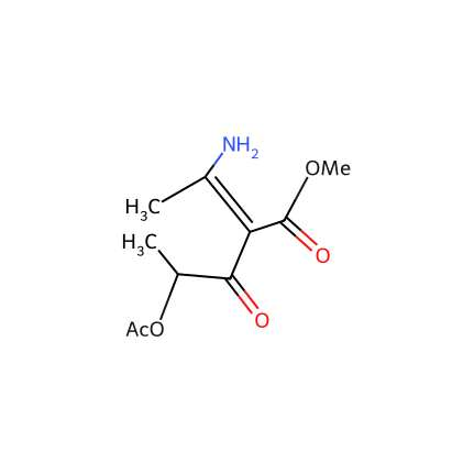 COC(=O)C(C(=O)C(C)OC(C)=O)=C(C)N